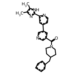 Cc1nc(-c2cc(-c3cncc(C(=O)N4CCC(Cc5ccccc5)CC4)c3)ccn2)[nH]c1C